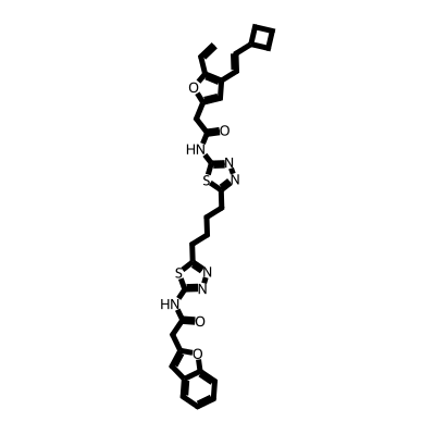 C=Cc1oc(CC(=O)Nc2nnc(CCCCc3nnc(NC(=O)Cc4cc5ccccc5o4)s3)s2)cc1/C=C/C1CCC1